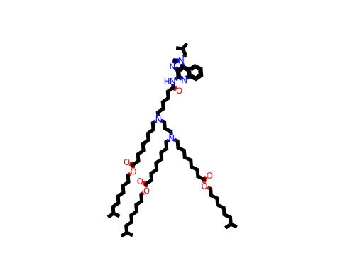 CC(C)CCCCCCCOC(=O)CCCCCCCCN(CCCCCCCCC(=O)OCCCCCCCC(C)C)CCCN(CCCCCCCCC(=O)OCCCCCCCC(C)C)CCCCCC(=O)Nc1nc2ccccc2c2c1ncn2CC(C)C